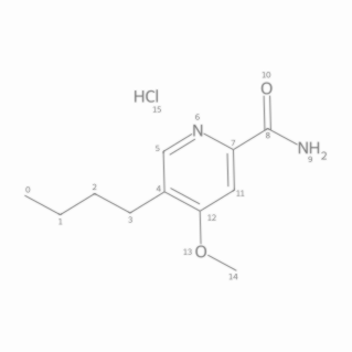 CCCCc1cnc(C(N)=O)cc1OC.Cl